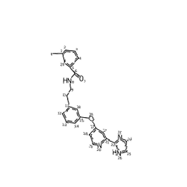 Cc1cccc(C(=O)NCCc2cccc(Oc3ccnc(-c4ncc[nH]4)c3)c2)c1